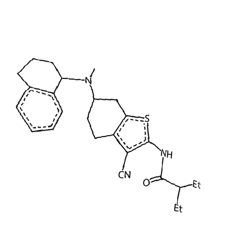 CCC(CC)C(=O)Nc1sc2c(c1C#N)CCC(N(C)C1CCCc3ccccc31)C2